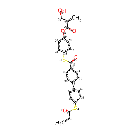 C=CC(=O)Sc1ccc(-c2ccc(C(=O)Sc3ccc(OC(=O)C(=C)CO)cc3)cc2)cc1